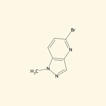 Cn1ncc2nc(Br)ccc21